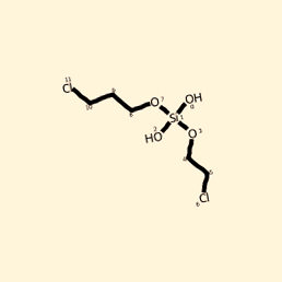 O[Si](O)(OCCCl)OCCCCl